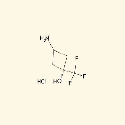 Cl.NC1CC(O)(C(F)(F)F)C1